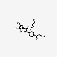 CCc1[nH]c(C(=O)NC2CCN(C(=O)OC(C)(C)C)CC2OCCCF)nc1Cl